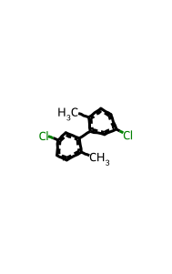 Cc1[c]cc(Cl)cc1-c1cc(Cl)ccc1C